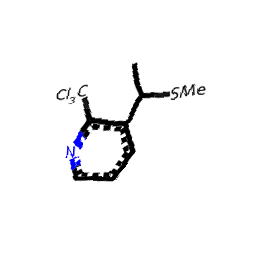 CSC(C)c1cccnc1C(Cl)(Cl)Cl